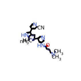 C\C=C(/C=c1/c(-c2ccnc(C#N)c2)c[nH]/c1=C\CCC)c1cncc(NC(=O)/C=C/CN(C)C)c1